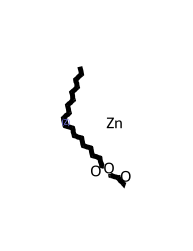 CCCCCCCC/C=C\CCCCCCCC(=O)OCC1CO1.[Zn]